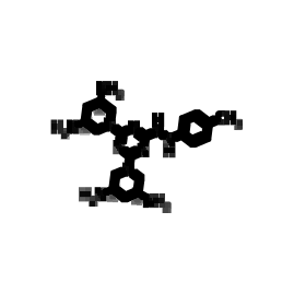 Cc1ccc(NNc2nc(N3C[C@H](N)C[C@H](N)C3)nc(N3C[C@H](N)C[C@H](N)C3)n2)cc1